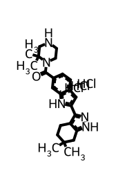 CC1(C)CCc2c(-c3cc4ccc(C(=O)N5CCNCC5(C)C)cc4[nH]3)n[nH]c2C1.Cl.Cl.Cl